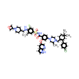 CC1CN(c2ccc(C(=O)NS(=O)(=O)c3cc(F)c(NCC4CCN(C5COC5)CC4)c([N+](=O)[O-])c3)c(Oc3cnc4[nH]ccc4c3)c2)CCN1CC1=C(c2ccc(Cl)cc2)CC(C)(C)CC1